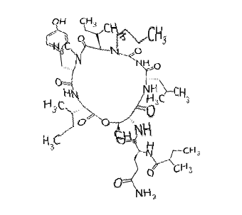 CC/C=C\N1C(=O)NC(=O)[C@H](CC(C)C)NC(=O)[C@H](NC(=O)[C@H](CCC(N)=O)NC(=O)C(C)CC)[C@@H](C)OC(=O)[C@H](C(C)CC)NC(=O)[C@H](Cc2ccc(O)cc2)N(C)C(=O)[C@H]1C(C)CC